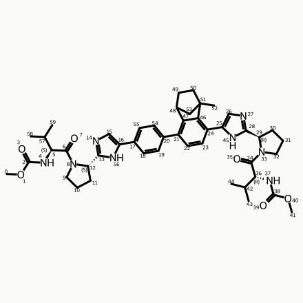 COC(=O)N[C@H](C(=O)N1CCC[C@H]1c1ncc(-c2ccc(-c3ccc(-c4cnc([C@H]5CCCN5C(=O)[C@H](NC(=O)OC)C(C)C)[nH]4)c4c3C3CCC4(C)C3)cc2)[nH]1)C(C)C